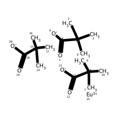 CC(C)(C)C(=O)[O-].CC(C)(C)C(=O)[O-].CC(C)(C)C(=O)[O-].[Eu+3]